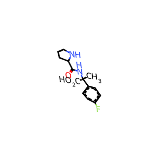 CC(NC(=O)C1CCCN1)(C(=O)O)c1ccc(F)cc1